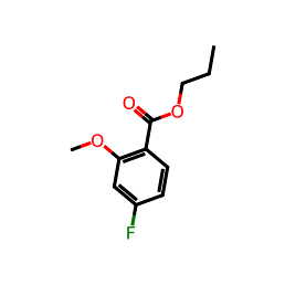 CCCOC(=O)c1ccc(F)cc1OC